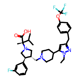 CCn1nc(Cc2ccc(OC(F)(F)F)cc2)cc1C1CCN(C[C@H]2CN([C@](C)(C(=O)O)C(C)C)C[C@@H]2c2cccc(F)c2)CC1